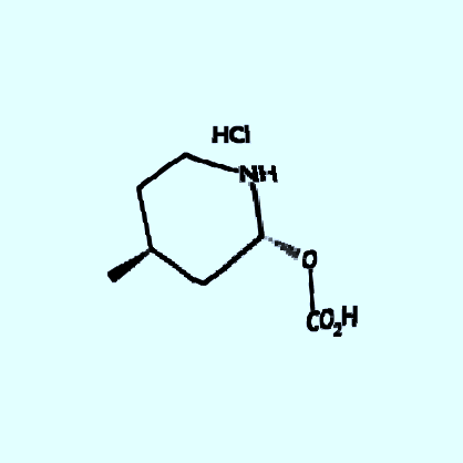 C[C@H]1CCN[C@H](OC(=O)O)C1.Cl